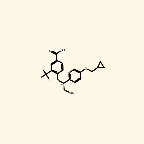 CC[C@@H](Oc1ccc(C(=O)O)cc1C(F)(F)F)c1ccc(OCC2CC2)cn1